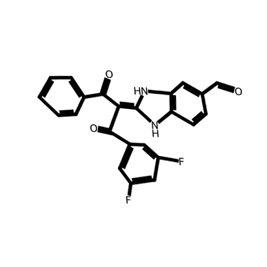 O=Cc1ccc2c(c1)N/C(=C(\C(=O)c1ccccc1)C(=O)c1cc(F)cc(F)c1)N2